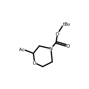 CC(=O)C1CN(C(=O)OC(C)(C)C)CCO1